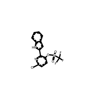 O=S(=O)(Oc1ccc(Cl)nc1-c1cc2ccccc2[nH]1)C(F)(F)F